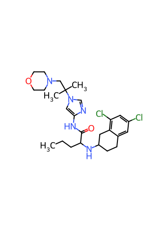 CCCC(NC1CCc2cc(Cl)cc(Cl)c2C1)C(=O)Nc1cn(C(C)(C)CN2CCOCC2)cn1